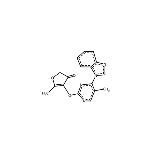 CC1=C(Oc2ncc(C)c(-n3cnc4ccccc43)n2)C(=O)CO1